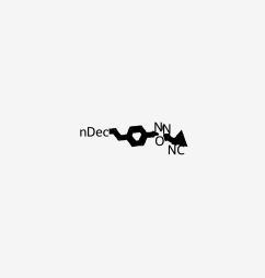 CCCCCCCCCCCCc1ccc(-c2nnc(C3(C#N)CC3)o2)cc1